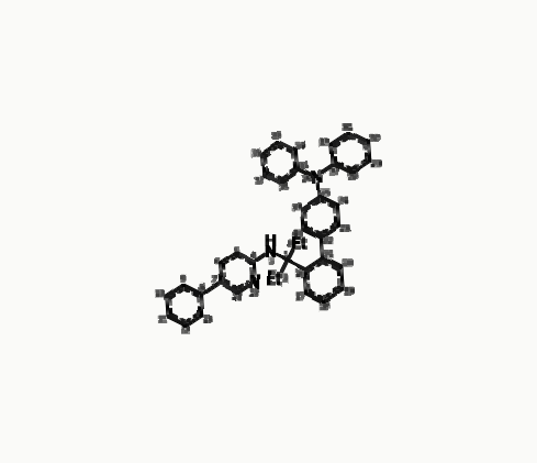 CCC(CC)(Nc1ccc(-c2ccccc2)cn1)c1ccccc1-c1ccc(N(c2ccccc2)c2ccccc2)cc1